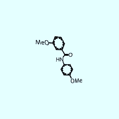 COc1ccc(NC(=O)c2cccc(OC)c2)cc1